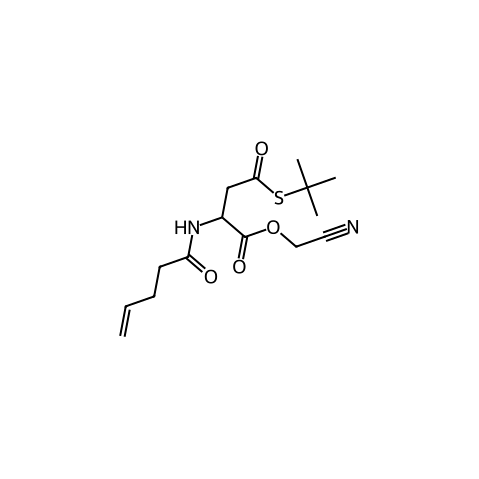 C=CCCC(=O)NC(CC(=O)SC(C)(C)C)C(=O)OCC#N